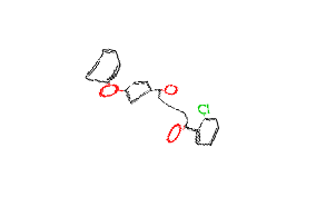 O=C(CCC(=O)c1ccccc1Cl)c1ccc(Oc2ccccc2)cc1